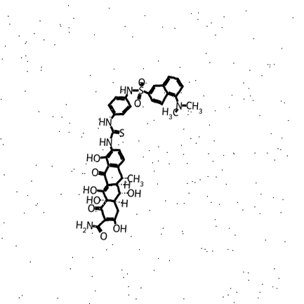 C[C@H]1c2ccc(NC(=S)Nc3ccc(NS(=O)(=O)c4ccc5c(N(C)C)cccc5c4)cc3)c(O)c2C(=O)C2=C(O)[C@]3(O)C(=O)C(C(N)=O)=C(O)C[C@@H]3[C@@H](O)[C@@H]21